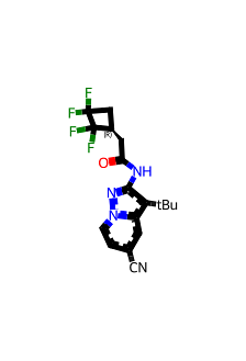 CC(C)(C)c1c(NC(=O)C[C@@H]2CC(F)(F)C2(F)F)nn2ccc(C#N)cc12